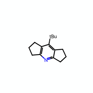 CC(C)(C)c1c2c(nc3c1CCC3)CCC2